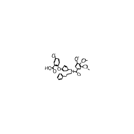 COc1cc(C(=O)N(CCCc2ccccc2)Cc2ccc(Oc3ccc(Cl)cc3C(=O)O)cc2)cc(OC)c1OC